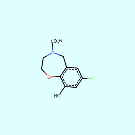 N#Cc1cc(F)cc2c1OCCN(C(=O)O)C2